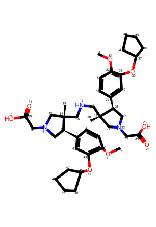 COc1ccc([C@H]2CN(CC(=O)O)C[C@]2(C)CNC[C@@]2(C)CN(CC(=O)O)C[C@@H]2c2ccc(OC)c(OC3CCCC3)c2)cc1OC1CCCC1